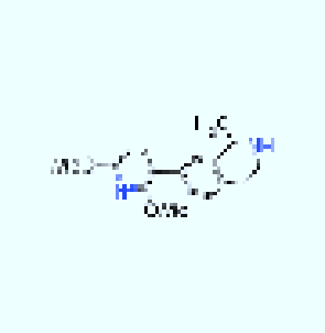 COc1ccc(-c2ccc3c(c2)C(C)NCC3)c(OC)n1